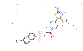 C/N=c1\sc(C2CCN(C(=O)CCS(=O)(=O)c3ccc4cc(Cl)ccc4c3)CC2)c(O)n1C